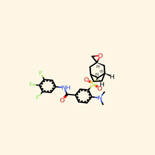 CN(C)c1ccc(C(=O)Nc2cc(F)c(F)c(F)c2)cc1S(=O)(=O)[C@H]1C2CC[C@H]1C[C@]1(CO1)C2